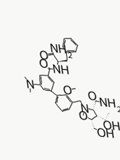 COc1c(CN2O[C@@H](CO)[C@@H]([C@H](C)O)[C@H]2C(N)=O)cccc1-c1cc(C(=O)N[C@H](Cc2ccccc2)C(N)=O)cc(N(C)C)c1